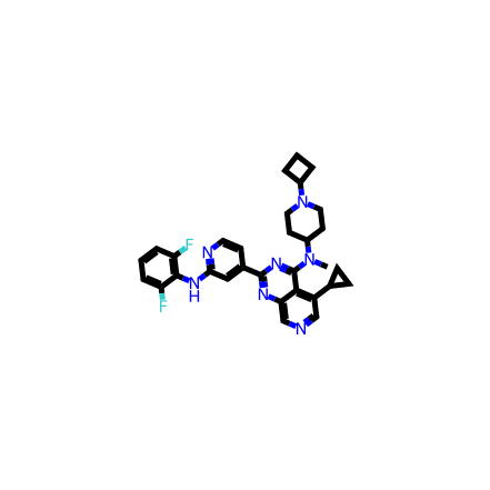 CN(c1nc(-c2ccnc(Nc3c(F)cccc3F)c2)nc2cncc(C3CC3)c12)C1CCN(C2CCC2)CC1